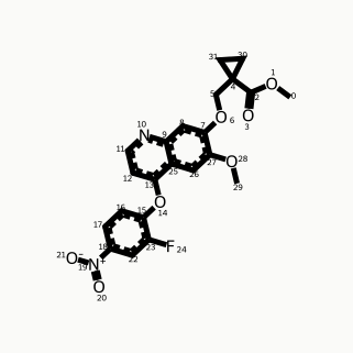 COC(=O)C1(COc2cc3nccc(Oc4ccc([N+](=O)[O-])cc4F)c3cc2OC)CC1